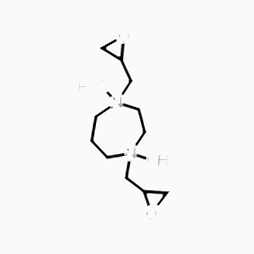 C[N+]1(CC2CO2)CCC[N+](C)(CC2CO2)CC1